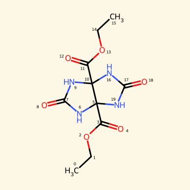 CCOC(=O)C12NC(=O)NC1(C(=O)OCC)NC(=O)N2